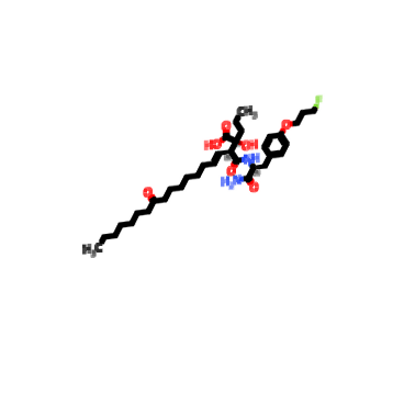 CCCCCCCC(=O)CCCCCCC=C[C@H](C(=O)N[C@@H](Cc1ccc(OCCCF)cc1)C(N)=O)[C@@](O)(CCC)C(=O)O